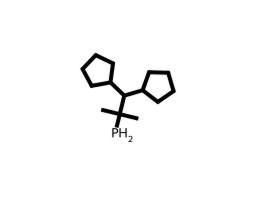 CC(C)(P)C(C1CCCC1)C1CCCC1